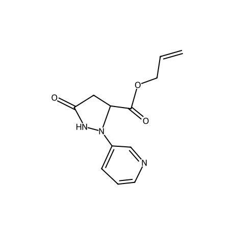 C=CCOC(=O)C1CC(=O)NN1c1cccnc1